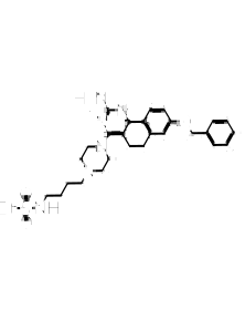 CCS(=O)(=O)NCCCCN1CCN(c2nc(N)nc3c2CCc2cc(OCc4ccccc4)ccc2-3)CC1